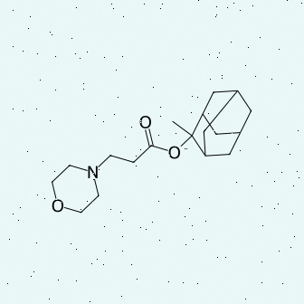 CC1(OC(=O)CCN2CCOCC2)C2CC3CC(C2)CC1C3